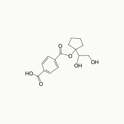 O=C(O)c1ccc(C(=O)OC2(C(O)CO)CCCC2)cc1